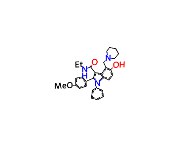 CCNC(=O)c1c(-c2ccc(OC)cc2)n(-c2ccccc2)c2ccc(O)c(CN3CCCCC3)c12